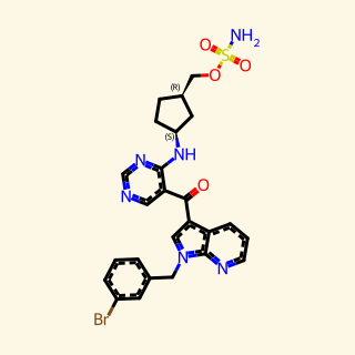 NS(=O)(=O)OC[C@@H]1CC[C@H](Nc2ncncc2C(=O)c2cn(Cc3cccc(Br)c3)c3ncccc23)C1